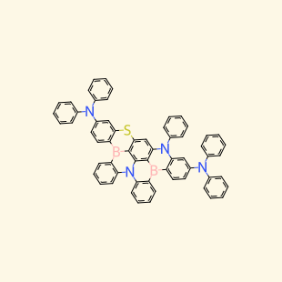 c1ccc(N(c2ccccc2)c2ccc3c(c2)Sc2cc4c5c6c2B3c2ccccc2N6c2ccccc2B5c2ccc(N(c3ccccc3)c3ccccc3)cc2N4c2ccccc2)cc1